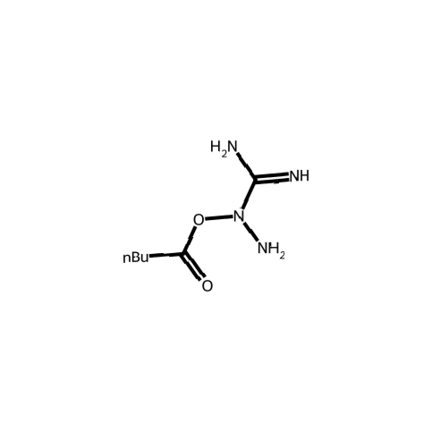 CCCCC(=O)ON(N)C(=N)N